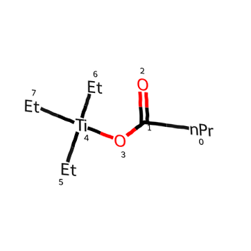 CCCC(=O)[O][Ti]([CH2]C)([CH2]C)[CH2]C